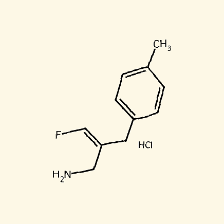 Cc1ccc(CC(=CF)CN)cc1.Cl